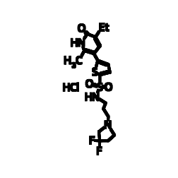 CCc1cc(-c2ccc(S(=O)(=O)NCCCN3CCC(F)(F)C3)s2)c(C)[nH]c1=O.Cl